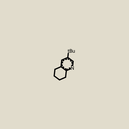 CC(C)(C)c1cnc2c(c1)CCCC2